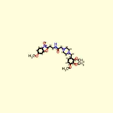 COc1ccc2c(c1)OC(CCNC(=O)CN1CCN(Cc3ccc(OC)c(OC)c3OC)CC1)[N+]2=O